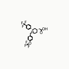 O=C(O)C[C@@H]1CCN(Cc2ccc(OC(F)(F)F)cc2)[C@H](c2ccc(C(F)(F)F)cc2)C1